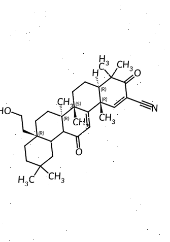 CC1(C)CC[C@]2(CCO)CC[C@]3(C)C(C(=O)C=C4[C@@]5(C)C=C(C#N)C(=O)C(C)(C)[C@@H]5CC[C@]43C)C2C1